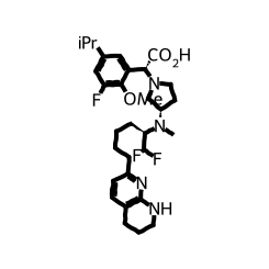 COc1c(F)cc(C(C)C)cc1[C@H](C(=O)O)N1CC[C@H](N(C)[C@H](CCCCc2ccc3c(n2)NCCC3)C(F)F)C1